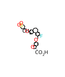 CC1(COc2ccc3c(c2)CCCc2cc(F)c(COc4ccc5c(c4)OC[C@H]5CC(=O)O)cc2-3)CCS(=O)(=O)CC1